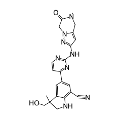 CN1Cc2cc(Nc3nccc(-c4cc(C#N)c5c(c4)C(C)(CO)CN5)n3)nn2CC1=O